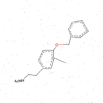 CC(=O)NCCc1ccc(OCc2ccccc2)c(C)c1